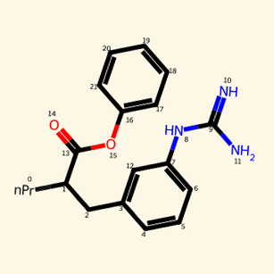 CCCC(Cc1cccc(NC(=N)N)c1)C(=O)Oc1ccccc1